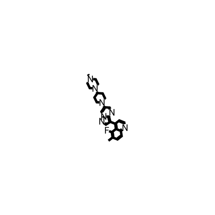 Cc1ccc2nccc(-c3cnn4cc(N5CCC(N6CCN(C)CC6)CC5)cnc34)c2c1F